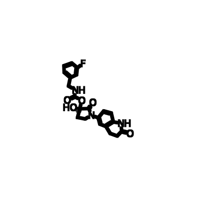 O=C1CCc2cc(N3CC[C@](O)(OC(=O)NCc4cccc(F)c4)C3=O)ccc2N1